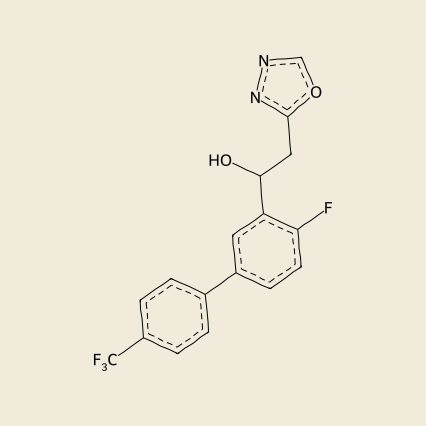 OC(Cc1nnco1)c1cc(-c2ccc(C(F)(F)F)cc2)ccc1F